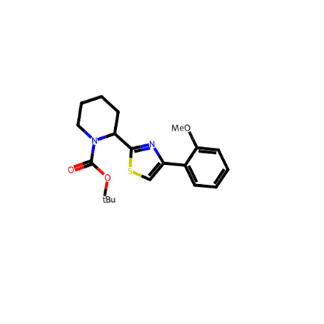 COc1ccccc1-c1csc(C2CCCCN2C(=O)OC(C)(C)C)n1